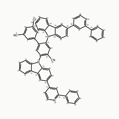 N#Cc1cc(-c2cc(-n3c4ccccc4c4cc(-c5ccnc(-c6ccccc6)c5)ccc43)c(C#N)cc2-n2c3ccccc3c3cc(-c4ccnc(-c5ccccc5)c4)ccc32)cc(C(F)(F)F)c1